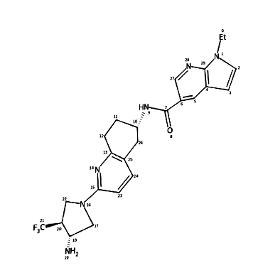 CCn1ccc2cc(C(=O)N[C@H]3CCc4nc(N5C[C@H](N)[C@@H](C(F)(F)F)C5)ccc4C3)cnc21